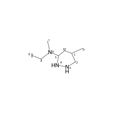 CC1CNNC(N(C)CI)C1